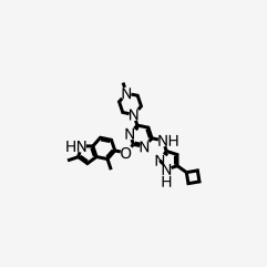 Cc1cc2c(C)c(Oc3nc(Nc4cc(C5CCC5)[nH]n4)cc(N4CCN(C)CC4)n3)ccc2[nH]1